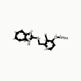 CCCCCCOc1ccnc(CSc2nc3ccccc3[nH]2)c1C